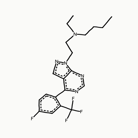 CCCCN(CC)CCn1ncc2c(-c3ccc(F)cc3C(F)(F)F)ncnc21